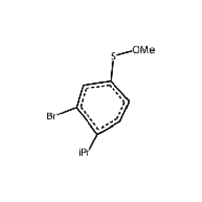 COSc1ccc(C(C)C)c(Br)c1